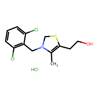 CC1=C(CCO)SCN1Cc1c(Cl)cccc1Cl.Cl